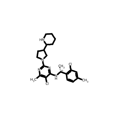 Cc1ccc([C@@H](C)Nc2nc(N3CCC(C4CCCCN4)C3)nc(C)c2Cl)c(Cl)c1